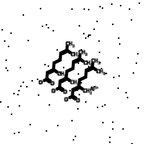 CC(C)=CCC/C(C)=C/C(=O)[O-].CC(C)=CCC/C(C)=C/C(=O)[O-].CC(C)=CCC/C(C)=C/C(=O)[O-].[Al+3]